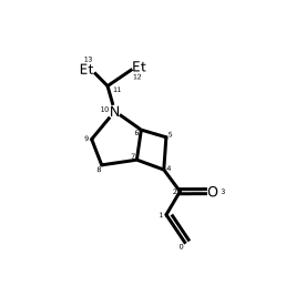 C=CC(=O)C1CC2C1CCN2C(CC)CC